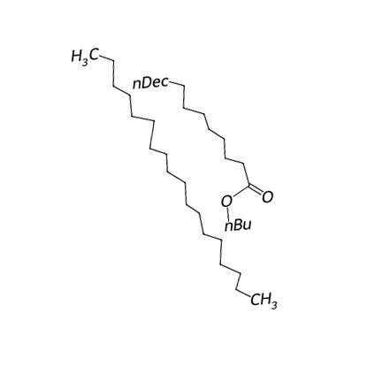 CCCCCCCCCCCCCCCCCC.CCCCCCCCCCCCCCCCCC(=O)OCCCC